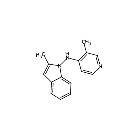 Cc1cnccc1Nn1c(C)cc2ccccc21